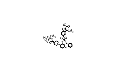 Cc1c(C(=O)O)oc2ccc(S(=O)(=O)N(CCc3ccccc3)Cc3cc(F)ccc3N3CCN(C(=O)OC(C)(C)C)CC3)cc12